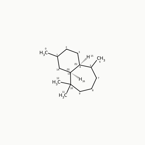 CC1CC[C@H]2C(C)CCCC(C)(C)[C@H]2C1